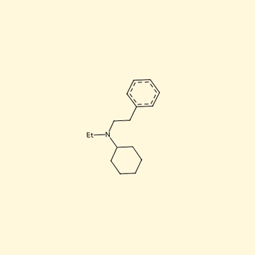 CCN(CCc1ccccc1)C1CCCCC1